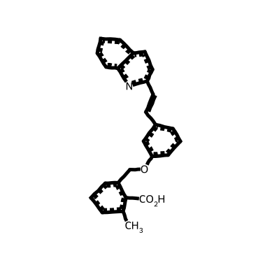 Cc1cccc(COc2cccc(C=Cc3ccc4ccccc4n3)c2)c1C(=O)O